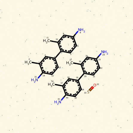 Cc1cc(-c2ccc(N)cc2C)ccc1N.Cc1cc(-c2ccc(N)cc2C)ccc1N.O=S